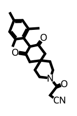 Cc1cc(C)c(C2C(=O)CC3(CCN(C(=O)CC#N)CC3)CC2=O)c(C)c1